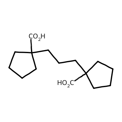 O=C(O)C1(CCCC2(C(=O)O)CCCC2)CCCC1